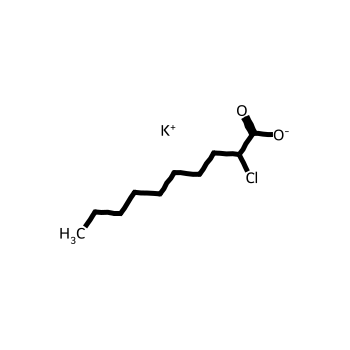 CCCCCCCCC(Cl)C(=O)[O-].[K+]